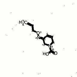 C=CCO/N=C1\C=CCN(C(=O)O)C1